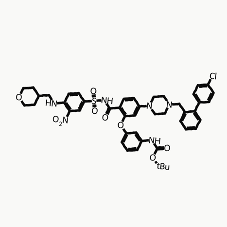 CC(C)(C)OC(=O)Nc1cccc(Oc2cc(N3CCN(Cc4ccccc4-c4ccc(Cl)cc4)CC3)ccc2C(=O)NS(=O)(=O)c2ccc(NCC3CCOCC3)c([N+](=O)[O-])c2)c1